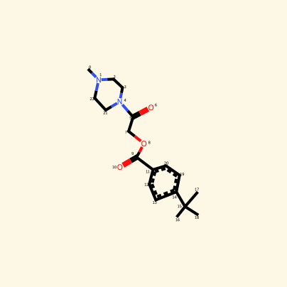 CN1CCN(C(=O)COC(=O)c2ccc(C(C)(C)C)cc2)CC1